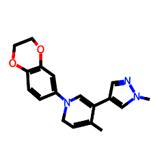 CC1=CCN(c2ccc3c(c2)OCCO3)C=C1c1cnn(C)c1